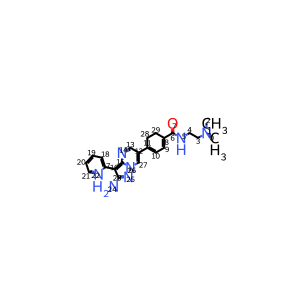 CN(C)CCNC(=O)C1=CC=C(c2cnc3c(-c4ccccn4)c(N)nn3c2)CC1